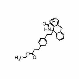 CCOC(=O)CCc1ccc(CCC2(NC(C)=O)c3ccccc3Sc3ccccc32)cc1